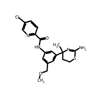 COCc1cc(NC(=O)c2ccc(Cl)cn2)cc(C2(C)CCSC(N)=N2)c1